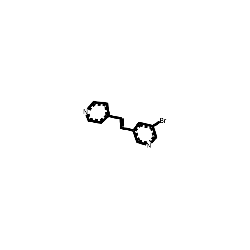 Brc1cncc(C=Cc2ccncc2)c1